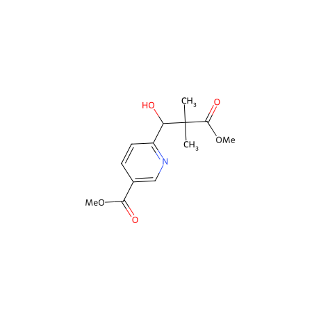 COC(=O)c1ccc(C(O)C(C)(C)C(=O)OC)nc1